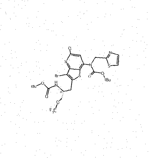 CC(C)(C)OC(=O)N[C@@H](COC(F)(F)F)Cc1sc2c(N(Cc3nccs3)C(=O)OC(C)(C)C)cc(Cl)nc2c1Br